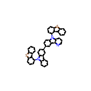 c1ccc2c(c1)sc1cccc(-n3c4ccccc4c4cc(-c5ccc6c(c5)c5ncccc5n6-c5cccc6sc7ccccc7c56)ccc43)c12